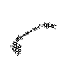 CCc1nc(NC(=O)c2ccc(NCCOCCOCCOCCOCCOCCNC(=O)CN3CCN(c4ccc(Nc5ncc6c(C)c(C(C)=O)c(=O)n(C7CCCC7)c6n5)nc4)CC3)cc2C)sc1C